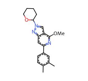 COc1nc(-c2ccc(C)c(C)c2)cc2nn(C3CCCCO3)cc12